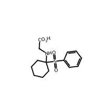 O=C(O)CNC1(S(=O)(=O)c2ccccc2)CCCCC1